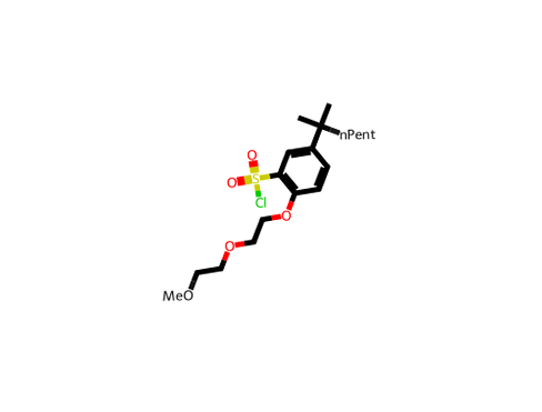 CCCCCC(C)(C)c1ccc(OCCOCCOC)c(S(=O)(=O)Cl)c1